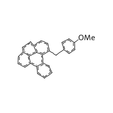 COc1ccc(Cc2ccc3ccc4cccc5c6ccccc6c2c3c45)cc1